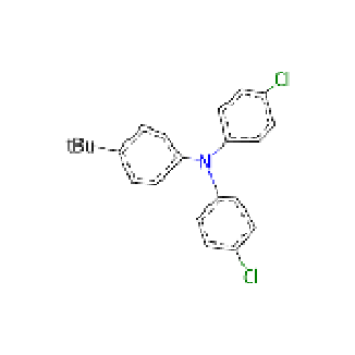 CC(C)(C)c1ccc(N(c2ccc(Cl)cc2)c2ccc(Cl)cc2)cc1